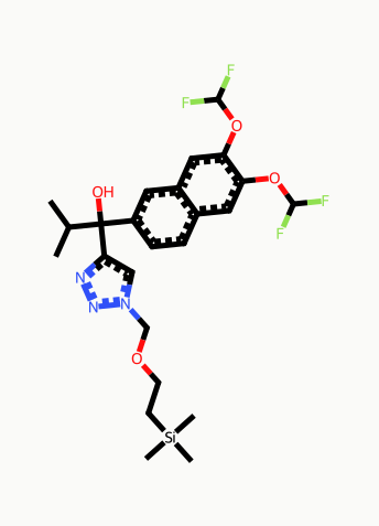 CC(C)C(O)(c1ccc2cc(OC(F)F)c(OC(F)F)cc2c1)c1cn(COCC[Si](C)(C)C)nn1